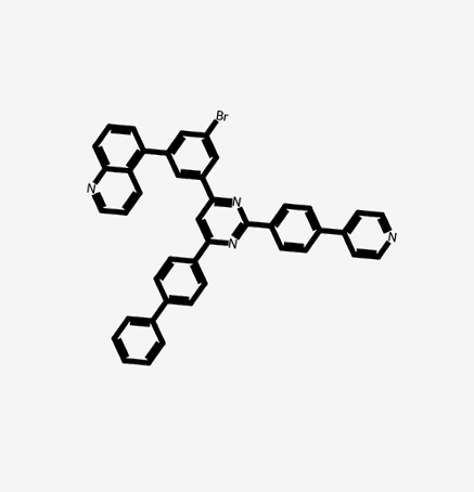 Brc1cc(-c2cc(-c3ccc(-c4ccccc4)cc3)nc(-c3ccc(-c4ccncc4)cc3)n2)cc(-c2cccc3ncccc23)c1